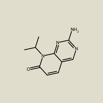 CC(C)n1c(=O)ccc2cnc(N)nc21